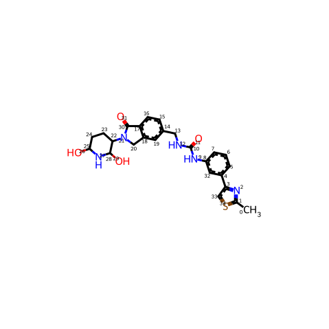 Cc1nc(-c2cccc(NC(=O)NCc3ccc4c(c3)CN(C3CCC(O)NC3O)C4=O)c2)cs1